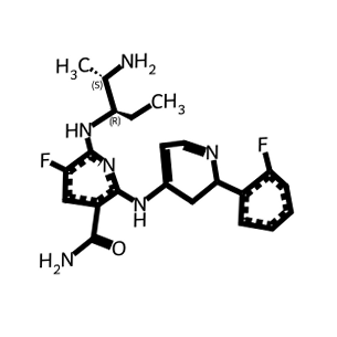 CC[C@@H](Nc1nc(NC2=CC=NC(c3ccccc3F)C2)c(C(N)=O)cc1F)[C@H](C)N